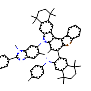 Cn1c(-c2ccccc2)nc2cc3c(cc21)-n1c2cc4c(cc2c2c5c(sc6ccccc65)c(-c5cc6c(cc5Nc5ccc(C(C)(C)C)cc5)C(C)(C)CCC6(C)C)c(c21)B3)C(C)(C)CCC4(C)C